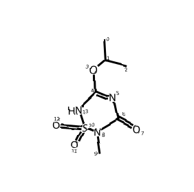 CC(C)OC1=NC(=O)N(C)S(=O)(=O)N1